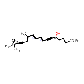 CCOC(=O)CCC[C@H](O)C#C/C=C/C=C/[C@H](C)CC#C[Si](C)(C)C